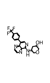 O[C@H]1COC[C@@H](Nc2ncc(-c3ccc(C(F)(F)F)cc3)c3nccnc23)C1